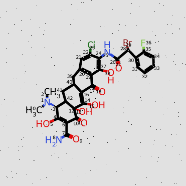 CN(C)[C@@H]1C(O)=C(C(N)=O)C(=O)[C@@]2(O)C(O)=C3C(=O)c4c(cc(Cl)c(NC(=O)C(Br)c5ccccc5F)c4O)CC3CC12